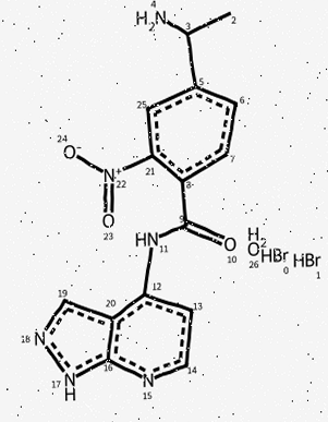 Br.Br.CC(N)c1ccc(C(=O)Nc2ccnc3[nH]ncc23)c([N+](=O)[O-])c1.O